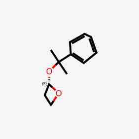 CC(C)(O[C@H]1CCO1)c1ccccc1